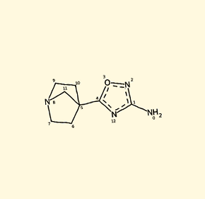 Nc1noc(C23CCN(CC2)C3)n1